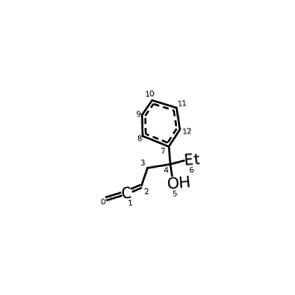 C=C=CCC(O)(CC)c1ccccc1